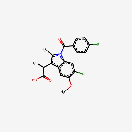 COc1cc2c(C(C)C(=O)O)c(C)n(C(=O)c3ccc(Br)cc3)c2cc1Cl